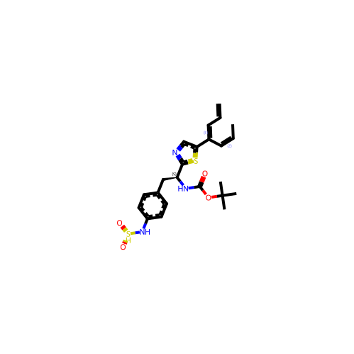 C=C/C=C(\C=C/C)c1cnc([C@H](Cc2ccc(N[SH](=O)=O)cc2)NC(=O)OC(C)(C)C)s1